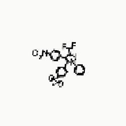 CS(=O)(=O)c1ccc(-c2c(-c3ccc([N+](=O)[O-])cc3)c(C(F)F)nn2-c2ccccc2)cc1